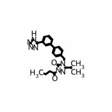 CCCC(=O)n1nc(C(C)C)n(Cc2ccc(-c3cccc(-c4nnn[nH]4)c3)cc2)c1=O